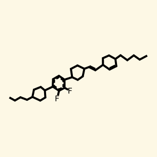 CCCCCC1C=CC(/C=C/C2CCC(c3ccc(C4CCC(CCCC)CC4)c(F)c3F)CC2)CC1